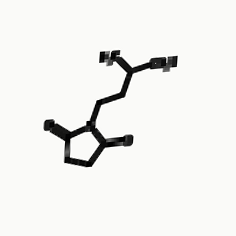 CC(CCN1C(=O)CCC1=O)C(=O)O